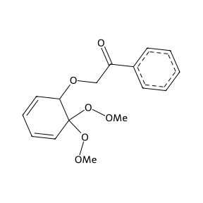 COOC1(OOC)C=CC=CC1OCC(=O)c1ccccc1